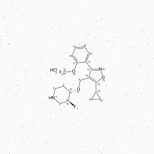 Cl.F[C@H]1CNCC[C@@H]1OCc1c(-c2ccccc2OC(F)(F)F)noc1C1CC1